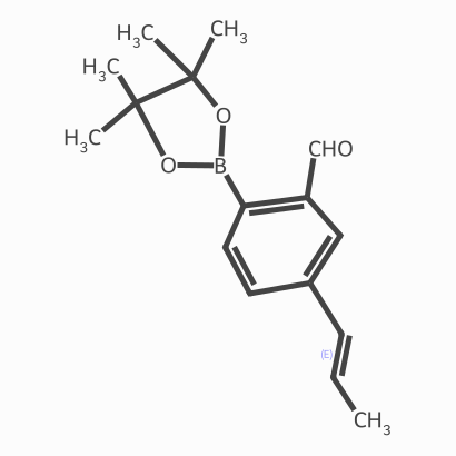 C/C=C/c1ccc(B2OC(C)(C)C(C)(C)O2)c(C=O)c1